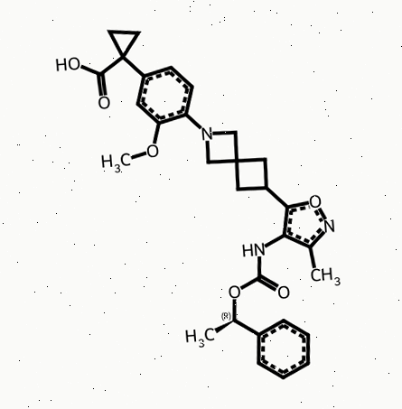 COc1cc(C2(C(=O)O)CC2)ccc1N1CC2(CC(c3onc(C)c3NC(=O)O[C@H](C)c3ccccc3)C2)C1